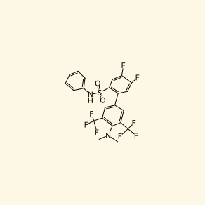 CN(C)c1c(C(F)(F)F)cc(-c2cc(F)c(F)cc2S(=O)(=O)Nc2ccccc2)cc1C(F)(F)F